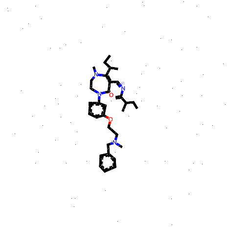 C=C(/N=C\C1=C(C(C)CC)N(C)CCN(c2cccc(OCCN(C)Cc3ccccc3)c2)C1=O)C(C)CC